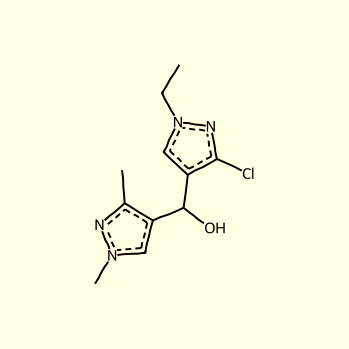 CCn1cc(C(O)c2cn(C)nc2C)c(Cl)n1